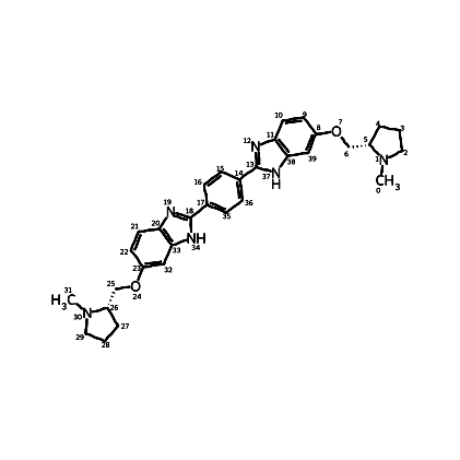 CN1CCC[C@H]1COc1ccc2nc(-c3ccc(-c4nc5ccc(OC[C@@H]6CCCN6C)cc5[nH]4)cc3)[nH]c2c1